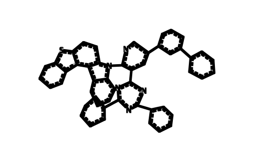 c1ccc(-c2cccc(-c3cnc(-n4c5ccccc5c5c6c(ccc54)sc4ccccc46)c(-c4nc(-c5ccccc5)nc(-c5ccccc5)n4)c3)c2)cc1